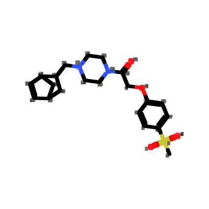 CS(=O)(=O)c1ccc(OCC(=O)N2CCN(CC3CC4C=CC3C4)CC2)cc1